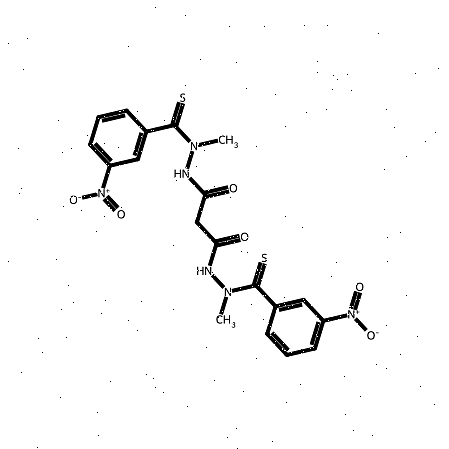 CN(NC(=O)CC(=O)NN(C)C(=S)c1cccc([N+](=O)[O-])c1)C(=S)c1cccc([N+](=O)[O-])c1